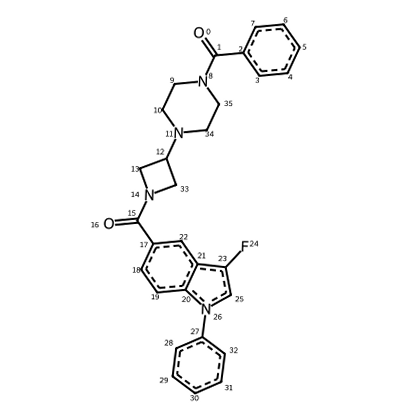 O=C(c1ccccc1)N1CCN(C2CN(C(=O)c3ccc4c(c3)c(F)cn4-c3ccccc3)C2)CC1